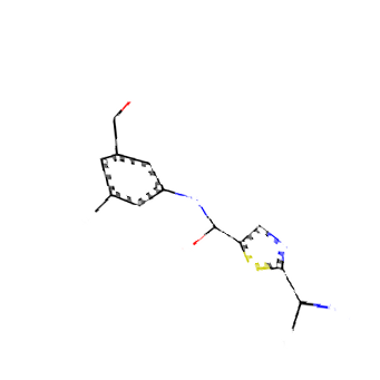 CC(N)c1ncc(C(O)Nc2cc(CO)cc(C(F)(F)F)c2)s1